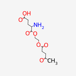 CC(=O)CCC(=O)OCCOC(=O)C(N)CCC(=O)O